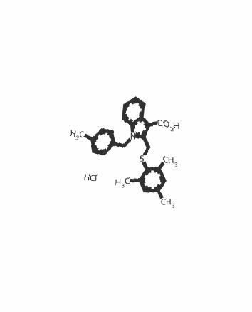 Cc1ccc(Cn2c(CSc3c(C)cc(C)cc3C)c(C(=O)O)c3ccccc32)cc1.Cl